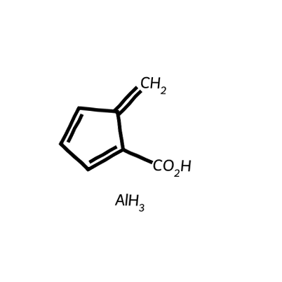 C=C1C=CC=C1C(=O)O.[AlH3]